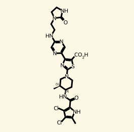 Cc1[nH]c(C(=O)N[C@@H]2CCN(c3nc(-c4cnc(NCCN5CCNC5=O)cn4)c(C(=O)O)s3)C[C@@H]2C)c(Cl)c1Cl